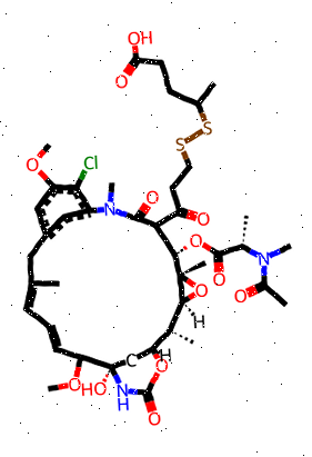 COc1cc2cc(c1Cl)N(C)C(=O)C(C(=O)CCSSC(C)CCC(=O)O)[C@H](OC(=O)[C@H](C)N(C)C(C)=O)[C@]1(C)O[C@H]1[C@H](C)[C@@H]1C[C@@](O)(NC(=O)O1)C(OC)/C=C/C=C(\C)C2